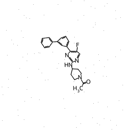 CC(=O)N1CCC(Nc2ncc(F)c(-c3cccc(-c4ccccc4)c3)n2)CC1